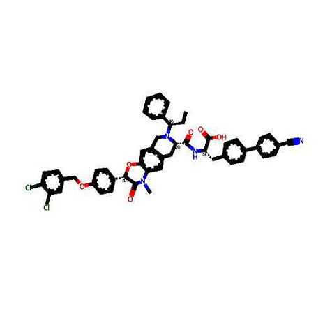 CC[C@H](c1ccccc1)N1Cc2cc3c(cc2C[C@H]1C(=O)N[C@@H](Cc1ccc(-c2ccc(C#N)cc2)cc1)C(=O)O)N(C)C(=O)[C@H](c1ccc(OCc2ccc(Cl)c(Cl)c2)cc1)O3